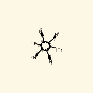 N#Cc1c(N)c(C#N)c(C#N)c(F)c1C#N